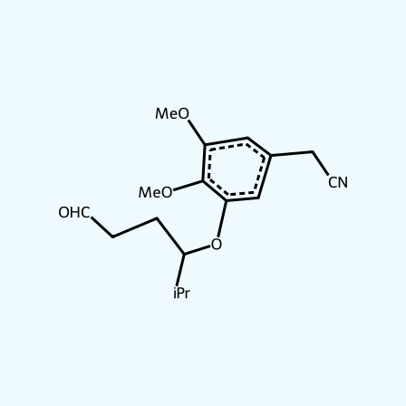 COc1cc(CC#N)cc(OC(CCC=O)C(C)C)c1OC